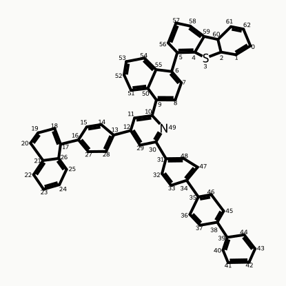 C1=CC2Sc3c(-c4ccc(-c5cc(-c6ccc(-c7cccc8ccccc78)cc6)cc(-c6ccc(-c7ccc(-c8ccccc8)cc7)cc6)n5)c5ccccc45)cccc3C2C=C1